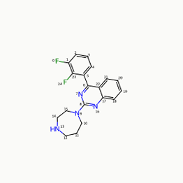 Fc1cccc(-c2nc(N3CCCNCC3)nc3ccccc23)c1F